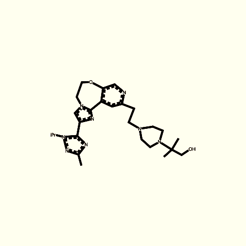 Cc1nc(-c2cn3c(n2)-c2cc(CCN4CCN(C(C)(C)CO)CC4)ncc2OCC3)n(C(C)C)n1